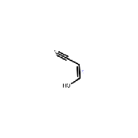 N#C/C=C\O